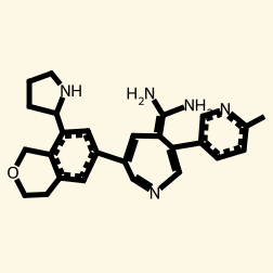 Cc1ccc(C2=CN=CC(c3cc4c(c(C5CCCN5)c3)COCC4)=CC2=C(N)N)cn1